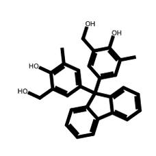 Cc1cc(C2(c3cc(C)c(O)c(CO)c3)c3ccccc3-c3ccccc32)cc(CO)c1O